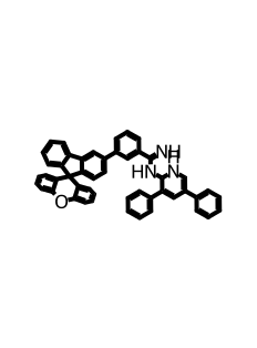 N=C(NC1NC=C(c2ccccc2)C=C1c1ccccc1)c1cccc(-c2ccc3c(c2)-c2ccccc2C32c3ccccc3Oc3ccccc32)c1